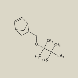 CC(C)(C)[Si](C)(C)OCC1CC2C=CC1C2